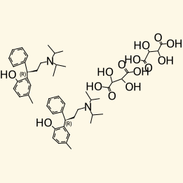 Cc1ccc(O)c([C@H](CCN(C(C)C)C(C)C)c2ccccc2)c1.Cc1ccc(O)c([C@H](CCN(C(C)C)C(C)C)c2ccccc2)c1.O=C(O)C(O)C(O)C(=O)O.O=C(O)C(O)C(O)C(=O)O